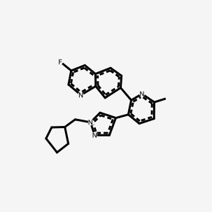 Cc1ccc(-c2cnn(CC3CCCC3)c2)c(-c2ccc3cc(F)cnc3c2)n1